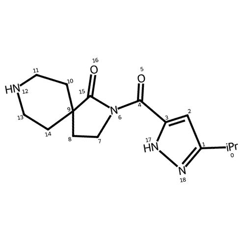 CC(C)c1cc(C(=O)N2CCC3(CCNCC3)C2=O)[nH]n1